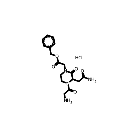 Cl.NCC(=O)N1CCN(CC(=O)OCc2ccccc2)C(=O)C1CC(N)=O